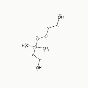 C[Si](C)(CCO)OOCCO